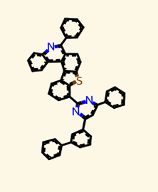 c1ccc(-c2cccc(-c3cc(-c4ccccc4)nc(-c4cccc5c4sc4ccc6c(-c7ccccc7)nc7ccccc7c6c45)n3)c2)cc1